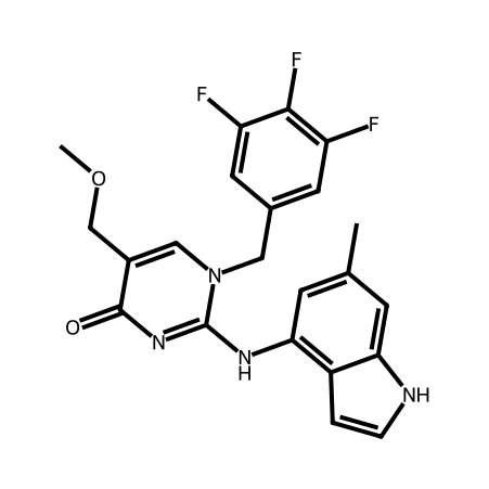 COCc1cn(Cc2cc(F)c(F)c(F)c2)c(Nc2cc(C)cc3[nH]ccc23)nc1=O